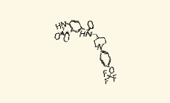 O=C(NCC1CCN(c2ccc(OC(F)(F)F)cc2)CC1)c1ccc2[nH]c(=O)oc2c1